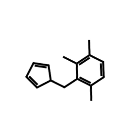 Cc1ccc(C)c(C[C]2C=CC=C2)c1C